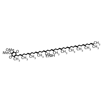 CCO.COC1=C(OC)C(=O)C(C/C=C(\C)CC/C=C(\C)CC/C=C(\C)CC/C=C(\C)CC/C=C(\C)CC/C=C(\C)CC/C=C(\C)CC/C=C(\C)CC/C=C(\C)CCC=C(C)C)=C(C)C1=O